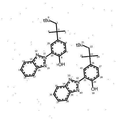 CC(C)(C)CC(C)(C)c1ccc(O)c(-n2nc3ccccc3n2)c1.CC(C)(C)CC(C)(C)c1ccc(O)c(-n2nc3ccccc3n2)c1